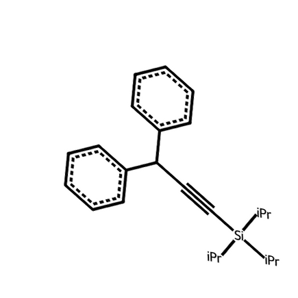 CC(C)[Si](C#CC(c1ccccc1)c1ccccc1)(C(C)C)C(C)C